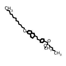 CCCCCCCCCCCCCOc1ccc2cc(CCc3ccc(C(=O)[C@@H](CCCCCC)OC)cc3)ccc2c1